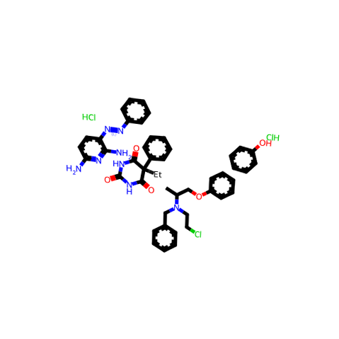 CC(COc1ccccc1)N(CCCl)Cc1ccccc1.CCC1(c2ccccc2)C(=O)NC(=O)NC1=O.Cl.Cl.Nc1ccc(/N=N/c2ccccc2)c(N)n1.Oc1ccccc1